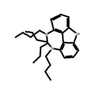 CCCCN(CCCC)c1cccc2[se]c3cccc(N(CCCC)CCCC)c3c12